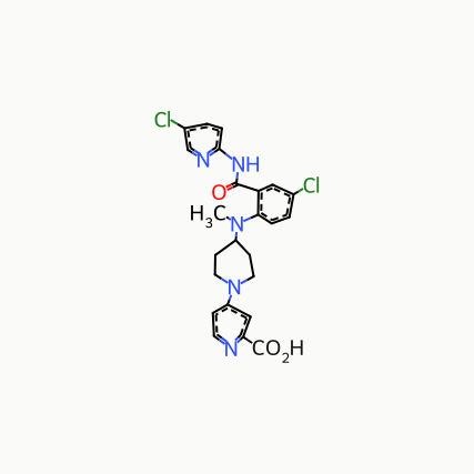 CN(c1ccc(Cl)cc1C(=O)Nc1ccc(Cl)cn1)C1CCN(c2ccnc(C(=O)O)c2)CC1